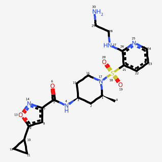 C[C@H]1C[C@@H](NC(=O)c2cc(C3CC3)on2)CCN1S(=O)(=O)c1cccnc1NCCN